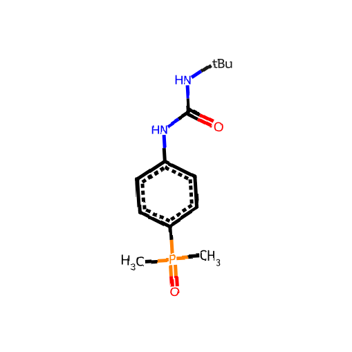 CC(C)(C)NC(=O)Nc1ccc(P(C)(C)=O)cc1